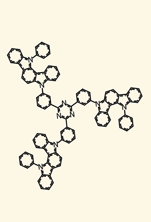 c1ccc(-n2c3ccccc3c3ccc4c(c5ccccc5n4-c4cccc(-c5nc(-c6cccc(-n7c8ccccc8c8c7ccc7c9ccccc9n(-c9ccccc9)c78)c6)nc(-c6cccc(-n7c8ccccc8c8c7ccc7c9ccccc9n(-c9ccccc9)c78)c6)n5)c4)c32)cc1